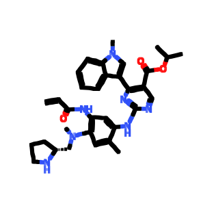 C=CC(=O)Nc1cc(Nc2ncc(C(=O)OC(C)C)c(-c3cn(C)c4ccccc34)n2)c(C)cc1N(C)C[C@H]1CCCN1